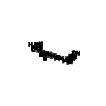 Cc1ncc(CCCOCCCCCCNCC(O)c2cc(Cl)c(N)c(Cl)c2)cc1CC(=O)O